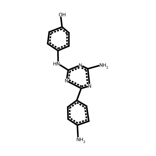 Nc1ccc(-c2nc(N)nc(Nc3ccc(O)cc3)n2)cc1